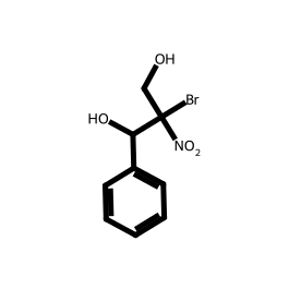 O=[N+]([O-])C(Br)(CO)C(O)c1ccccc1